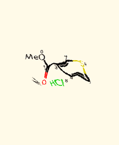 COC(=O)c1ccsc1.Cl